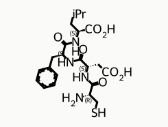 CC(C)C[C@H](NC(=O)[C@H](Cc1ccccc1)NC(=O)[C@H](CC(=O)O)NC(=O)[C@@H](N)CS)C(=O)O